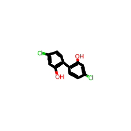 Oc1cc(Cl)ccc1-c1ccc(Cl)cc1O